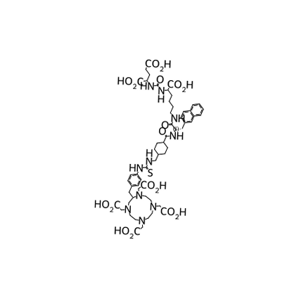 O=C(O)CCC(NC(=O)NC(CCCCNC(=O)[C@H](Cc1ccc2ccccc2c1)NC(=O)C1CCC(CNC(=S)Nc2ccc(CC3CN(CC(=O)O)CCN(CC(=O)O)CCN(CC(=O)O)CCN3CC(=O)O)cc2)CC1)C(=O)O)C(=O)O